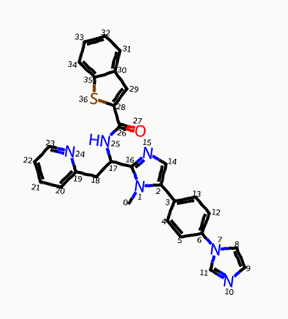 Cn1c(-c2ccc(-n3ccnc3)cc2)cnc1C(Cc1ccccn1)NC(=O)c1cc2ccccc2s1